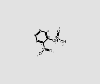 O=NO.O=[N+]([O-])c1ccccc1O